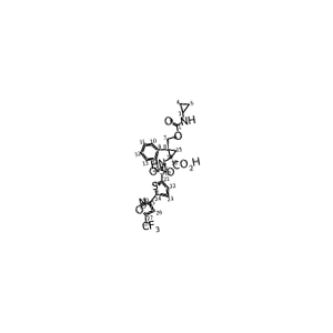 O=C(NC1CC1)OC[C@@]1(c2ccccc2)C[C@]1(NS(=O)(=O)c1ccc(-c2cc(C(F)(F)F)on2)s1)C(=O)O